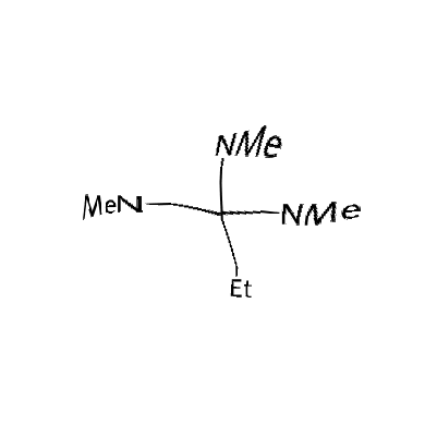 CCC(NC)(NC)NC